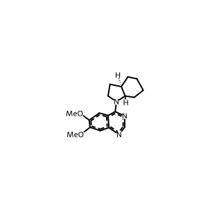 COc1cc2ncnc(N3CC[C@H]4CCCC[C@@H]43)c2cc1OC